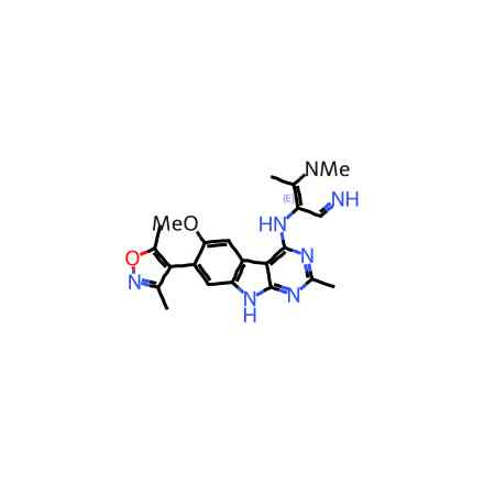 CN/C(C)=C(\C=N)Nc1nc(C)nc2[nH]c3cc(-c4c(C)noc4C)c(OC)cc3c12